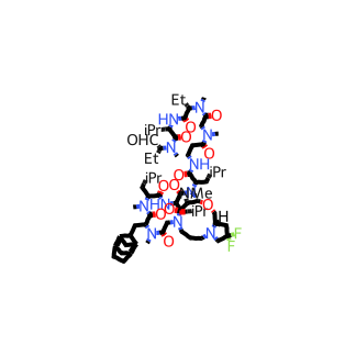 CCC(C=O)N(C)C(=O)C(NC(=O)C(CC)N(C)C(=O)CN(C)C(=O)CCNC(=O)C(CC(C)C)N(C)C(=O)C(CC(C)C)NC(=O)C(CC(C)C)N(C)C(=O)C(CC1C2=C3CCC(=C1C2)C3)N(C)C(=O)CN1CCCN2CC(F)(F)C[C@H]2COCC(NC)C1=O)C(C)C